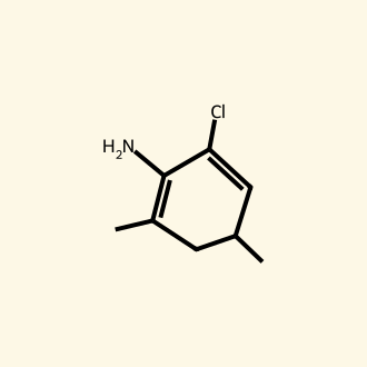 CC1=C(N)C(Cl)=CC(C)C1